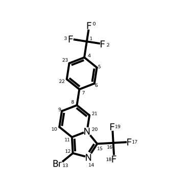 FC(F)(F)c1ccc(-c2ccc3c(Br)nc(C(F)(F)F)n3c2)cc1